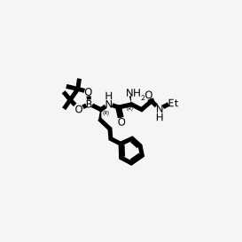 CCNC(=O)C[C@@H](N)C(=O)N[C@@H](CCCc1ccccc1)B1OC(C)(C)C(C)(C)O1